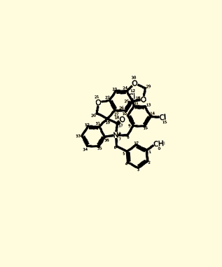 [CH]c1cccc(C[N+]2(Cc3cc(Cl)cc(Cl)c3)C(=O)C3(COc4cc5c(cc43)OCO5)c3ccccc32)c1